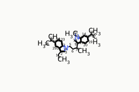 CCc1cn(CCC(C)c2cn(C)c3cc(C(C)C)ccc23)c2ccc(C(C)C)cc12